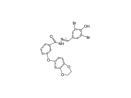 O=C(N/N=C/c1cc(Br)c(O)c(Br)c1)c1cccc(Oc2ccc3c(c2)OCCO3)c1